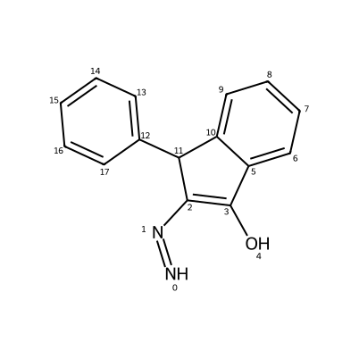 N=NC1=C(O)c2ccccc2C1c1ccccc1